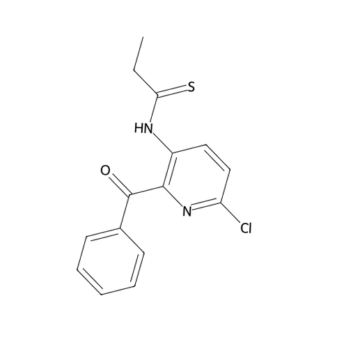 CCC(=S)Nc1ccc(Cl)nc1C(=O)c1ccccc1